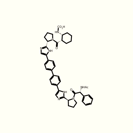 CC(=O)N[C@@H](C(=O)N1CCC[C@H]1c1ncc(-c2ccc(-c3ccc(-c4cnc([C@@H]5CCCN5C(=O)[C@H]5CCCC[C@H]5NC(=O)O)[nH]4)cc3)cc2)[nH]1)c1ccccc1